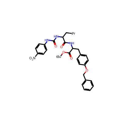 CC(C)CC(NC(=O)Nc1ccc([N+](=O)[O-])cc1)C(=O)NC(Cc1ccc(OCc2ccccc2)cc1)C(=O)OC(C)(C)C